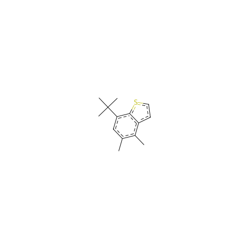 Cc1cc(C(C)(C)C)c2sccc2c1C